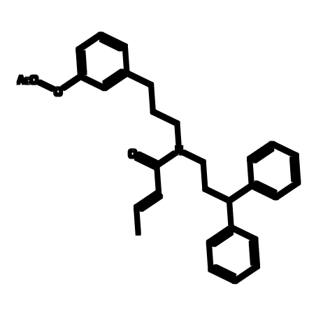 CC=CC(=O)N(CCCc1cccc(OOC(C)=O)c1)CCC(c1ccccc1)c1ccccc1